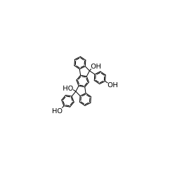 Oc1ccc(C2(O)c3ccccc3-c3cc4c(cc32)-c2ccccc2C4(O)c2ccc(O)cc2)cc1